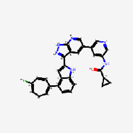 O=C(Nc1cncc(-c2cnc3[nH]nc(-c4cc5c(C6=CCC=C(F)C=C6)cccc5[nH]4)c3c2)c1)C1CC1